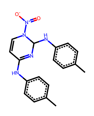 Cc1ccc(NC2=NC(Nc3ccc(C)cc3)N([N+](=O)[O-])C=C2)cc1